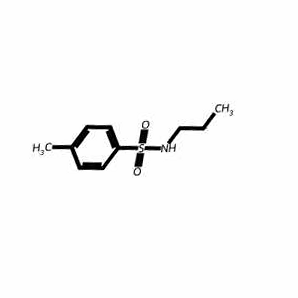 C[CH]CNS(=O)(=O)c1ccc(C)cc1